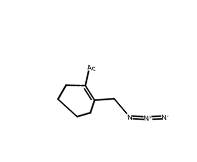 CC(=O)C1=C(CN=[N+]=[N-])CCCC1